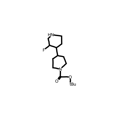 CC(C)(C)OC(=O)N1CCC(C2CCNCC2F)CC1